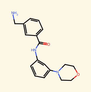 NCc1cccc(C(=O)Nc2cccc(N3CCOCC3)c2)c1